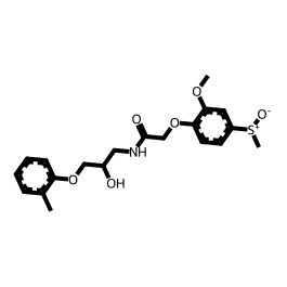 COc1cc([S+](C)[O-])ccc1OCC(=O)NCC(O)COc1ccccc1C